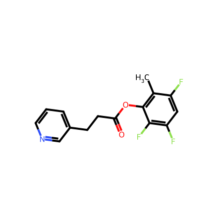 Cc1c(F)cc(F)c(F)c1OC(=O)CCc1cccnc1